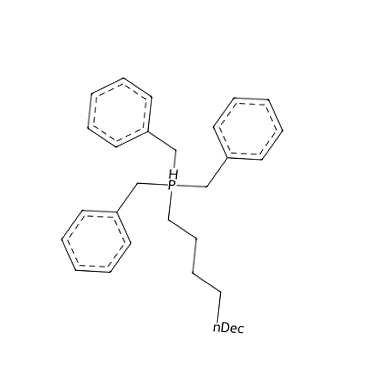 CCCCCCCCCCCCCC[PH](Cc1ccccc1)(Cc1ccccc1)Cc1ccccc1